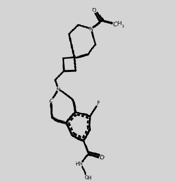 CC(=O)N1CCC2(CC1)CC(CN1CCc3cc(C(=O)NO)cc(F)c3C1)C2